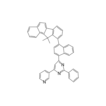 CC1(C)c2c(cccc2-c2ccc(-c3cc(-c4cccnc4)nc(-c4ccccc4)n3)c3ccccc23)-c2ccc3ccccc3c21